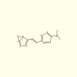 CN(C)c1ccc(/C=C/C2=CC=[N+]3CC23)cc1